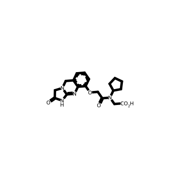 O=C(O)CN(C(=O)COc1cccc2c1N=C1NC(=O)CN1C2)C1CCCC1